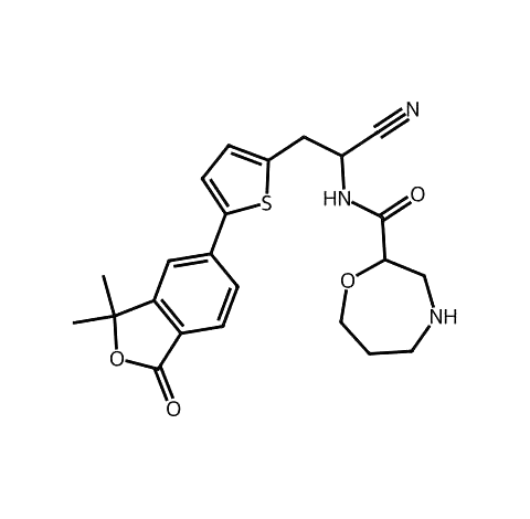 CC1(C)OC(=O)c2ccc(-c3ccc(CC(C#N)NC(=O)C4CNCCCO4)s3)cc21